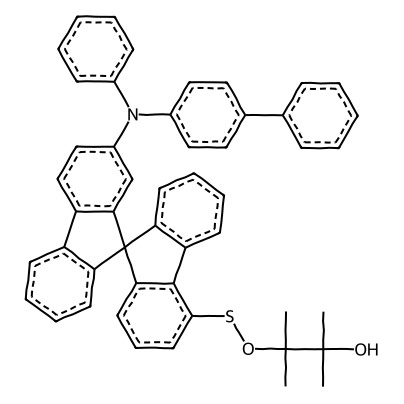 CC(C)(O)C(C)(C)OSc1cccc2c1-c1ccccc1C21c2ccccc2-c2ccc(N(c3ccccc3)c3ccc(-c4ccccc4)cc3)cc21